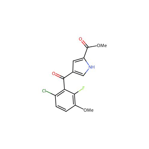 COC(=O)c1cc(C(=O)c2c(Cl)ccc(OC)c2F)c[nH]1